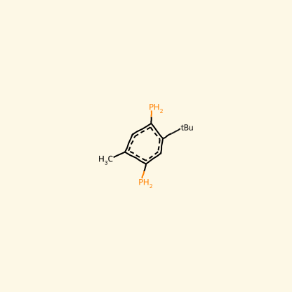 Cc1cc(P)c(C(C)(C)C)cc1P